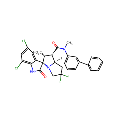 CN(C(=O)[C@H]1[C@H]2CC(F)(F)CN2[C@]2(C(=O)Nc3c(Cl)cc(Cl)cc32)[C@H]1C(=O)O)c1cccc(-c2ccccc2)c1